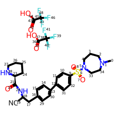 CN1CCCN(S(=O)(=O)c2ccc(-c3ccc(CC(C#N)NC(=O)[C@@H]4CCCCN4)cc3)cc2)CC1.O=C(O)C(F)(F)F.O=C(O)C(F)(F)F